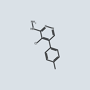 Cc1ccc(-c2cnnc(NN)c2Cl)cc1